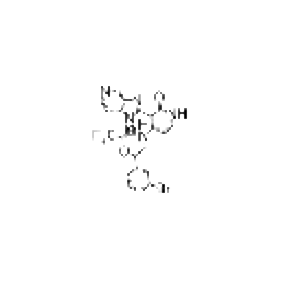 O=C(OC(CNc1cc[nH]c(=O)c1-c1nc2cnccc2[nH]1)c1cccc(Br)c1)C(F)(F)F